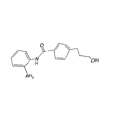 Nc1ccccc1NC(=O)c1ccc(CCCO)cc1